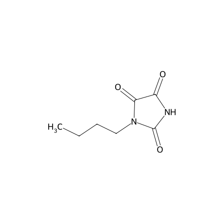 CCCCN1C(=O)NC(=O)C1=O